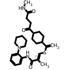 C=C(S/C=C(\C)C(=O)Nc1ccccc1N1CCCCC1)C1CCC(C(=O)CCC(=O)NC)CC1